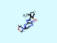 Cc1cc(Cl)cc(O)c1-c1nc2nc(N3CCOCC3)cnc2[nH]1